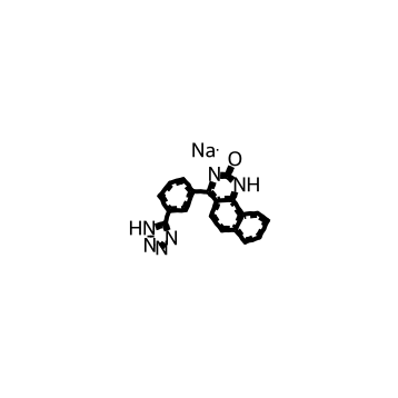 O=c1nc(-c2cccc(-c3nnn[nH]3)c2)c2ccc3ccccc3c2[nH]1.[Na]